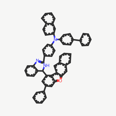 c1ccc(-c2ccc(N(c3ccc(C4=Nc5ccccc5C(c5cc(-c6ccccc6)cc6oc7cc8ccccc8cc7c56)N4)cc3)c3ccc4ccccc4c3)cc2)cc1